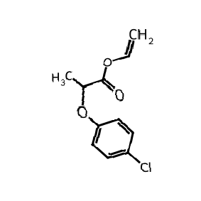 C=COC(=O)C(C)Oc1ccc(Cl)cc1